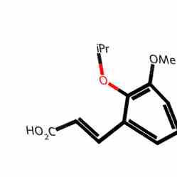 COc1cccc(C=CC(=O)O)c1OC(C)C